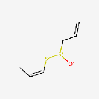 C=CC[S+]([O-])S/C=C\C